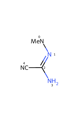 CN/N=C(/N)C#N